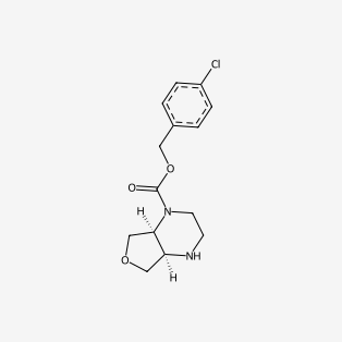 O=C(OCc1ccc(Cl)cc1)N1CCN[C@H]2COC[C@H]21